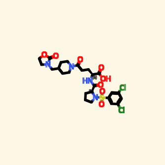 O=C(O)[C@H](CCC(=O)N1CCC(CN2CCOC2=O)CC1)NC(=O)[C@@H]1CCCN1S(=O)(=O)c1cc(Cl)cc(Cl)c1